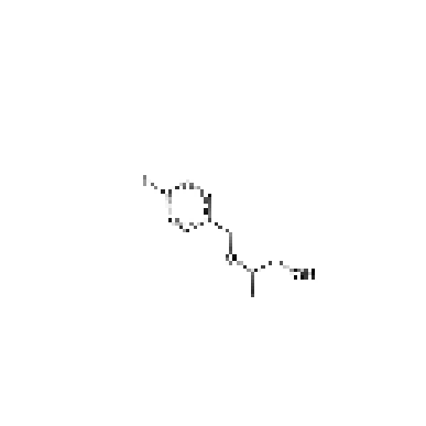 CC(CO)OCc1ccc(I)cc1